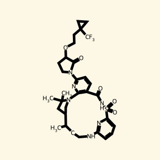 CC1CCNc2cccc(n2)S(=O)(=O)NC(=O)c2ccc(N3CCC(OCCC4(C(F)(F)F)CC4)C3=O)nc2N2CC1CC2(C)C